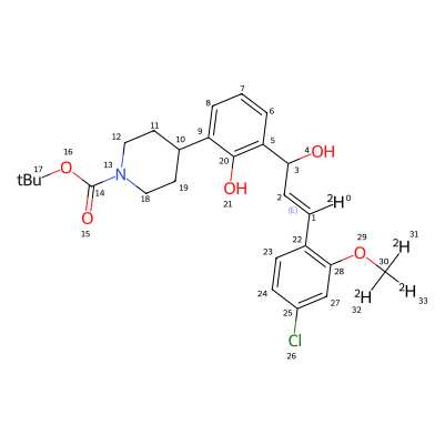 [2H]/C(=C\C(O)c1cccc(C2CCN(C(=O)OC(C)(C)C)CC2)c1O)c1ccc(Cl)cc1OC([2H])([2H])[2H]